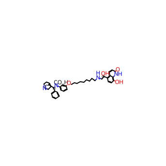 O=C(O)N(c1cccc(OCCCCCCCCCNC[C@H](O)c2ccc(O)c3[nH]c(=O)ccc23)c1)[C@@H](c1ccccc1)C1CN2CCC1CC2